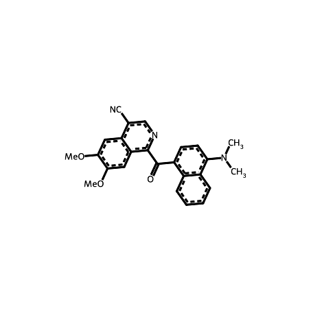 COc1cc2c(C#N)cnc(C(=O)c3ccc(N(C)C)c4ccccc34)c2cc1OC